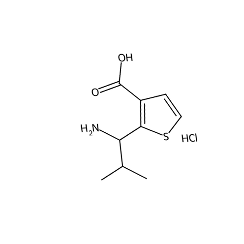 CC(C)C(N)c1sccc1C(=O)O.Cl